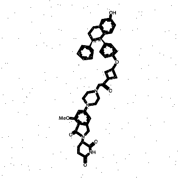 COc1cc(N2CCN(CC(=O)C3CC(Oc4ccc([C@@H]5c6ccc(O)cc6CC[C@@H]5c5ccccc5)cc4)C3)CC2)cc2c1C(=O)N(C1CCC(=O)NC1=O)C2